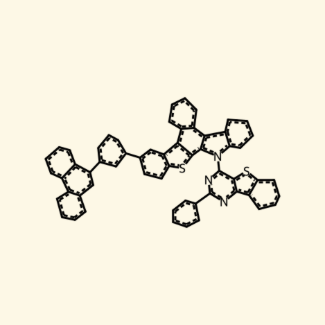 c1ccc(-c2nc(-n3c4ccccc4c4c5ccccc5c5c6cc(-c7cccc(-c8cc9ccccc9c9ccccc89)c7)ccc6sc5c43)c3sc4ccccc4c3n2)cc1